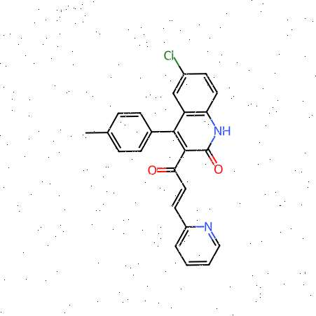 Cc1ccc(-c2c(C(=O)/C=C/c3ccccn3)c(=O)[nH]c3ccc(Cl)cc23)cc1